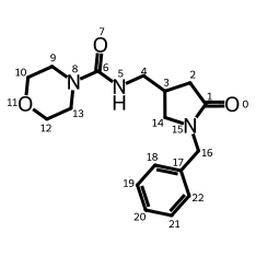 O=C1CC(CNC(=O)N2CCOCC2)CN1Cc1ccccc1